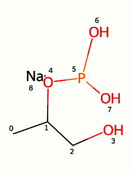 CC(CO)OP(O)O.[Na]